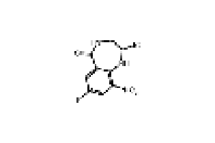 CCC1CNC(=O)c2cc(F)cc([N+](=O)[O-])c2N1